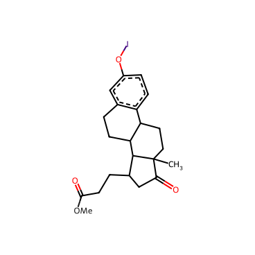 COC(=O)CCC1CC(=O)C2(C)CCC3c4ccc(OI)cc4CCC3C12